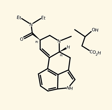 CC(O)CC(=O)O.CCN(CC)C(=O)[C@@H]1C=C2c3cccc4[nH]cc(c34)C[C@H]2N(C)C1